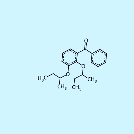 CCC(C)Oc1cccc(C(=O)c2ccccc2)c1OC(C)CC